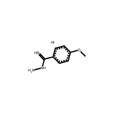 COc1ccc(C(=N)NN)cc1.I